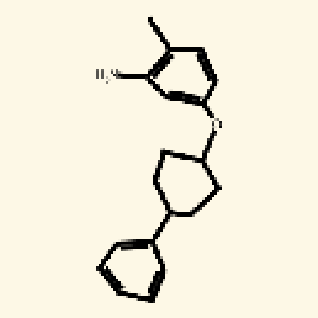 Cc1ccc(OC2CCC(c3ccccc3)CC2)cc1N